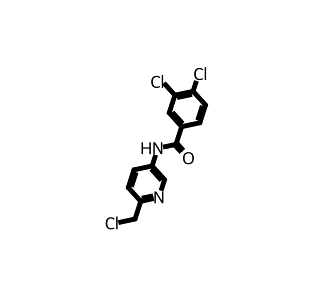 O=C(Nc1ccc(CCl)nc1)c1ccc(Cl)c(Cl)c1